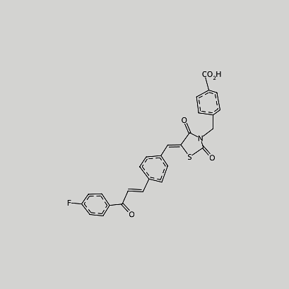 O=C(O)c1ccc(CN2C(=O)S/C(=C\c3ccc(/C=C/C(=O)c4ccc(F)cc4)cc3)C2=O)cc1